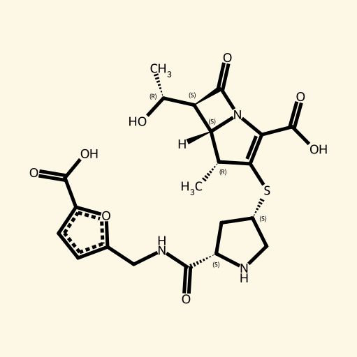 C[C@@H](O)[C@H]1C(=O)N2C(C(=O)O)=C(S[C@@H]3CN[C@H](C(=O)NCc4ccc(C(=O)O)o4)C3)[C@H](C)[C@H]12